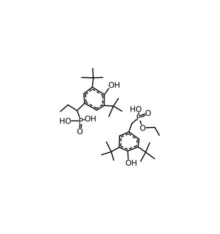 CCC(c1cc(C(C)(C)C)c(O)c(C(C)(C)C)c1)P(=O)(O)O.CCOP(=O)(O)Cc1cc(C(C)(C)C)c(O)c(C(C)(C)C)c1